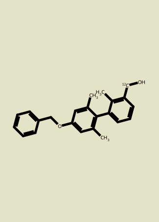 Cc1cc(OCc2ccccc2)cc(C)c1-c1cccc([12CH2]O)c1C